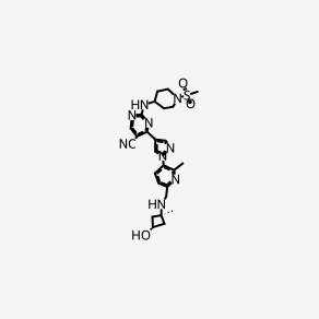 Cc1nc(CN[C@]2(C)C[C@H](O)C2)ccc1-n1cc(-c2nc(NC3CCN(S(C)(=O)=O)CC3)ncc2C#N)cn1